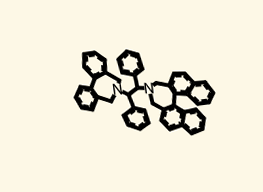 c1ccc(C(C(c2ccccc2)N2Cc3ccc4ccccc4c3-c3c(ccc4ccccc34)C2)N2Cc3ccccc3-c3ccccc3C2)cc1